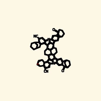 N#Cc1cc2c(c3c1C1CCCC(C3)C1)c1c3c4c(c5c6cc7c(cc6n2c51)C(=O)C1CCC7CC1)CCc1c-4c(c2c4c5c(c(C#N)cc4n4c6cc7c(cc6c1c24)C1CCC(CC1)C7=O)C1CCC5CC1)CC3